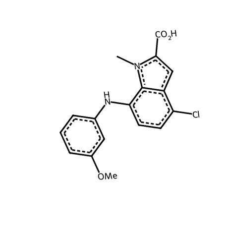 COc1cccc(Nc2ccc(Cl)c3cc(C(=O)O)n(C)c23)c1